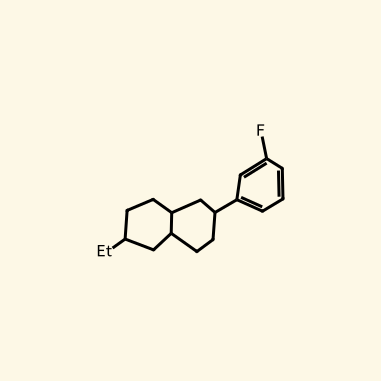 CCC1CCC2CC(c3cccc(F)c3)CCC2C1